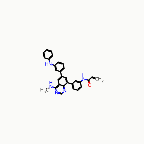 C=CC(=O)Nc1cccc(-c2cc(-c3cccc(Nc4ccccc4)c3)cc3c(NC)ncnc23)c1